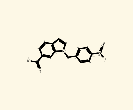 O=C(O)c1ccc2ccn(Cc3ccc([N+](=O)[O-])cc3)c2c1